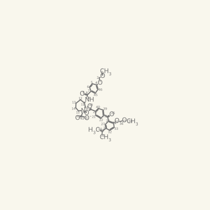 COCOc1ccc(C(=O)NC2CCCC[N+](OC(=O)c3ccc(C(=O)c4cc(C(C)C)ccc4OCOC)cc3)(C(=O)[O-])C2)cc1